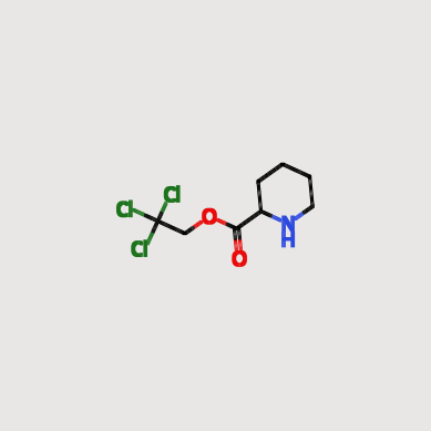 O=C(OCC(Cl)(Cl)Cl)C1CCCCN1